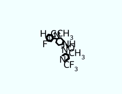 Cc1cc(C(F)(F)F)ncc1N1C[C@]2(CC[C@](c3cccc(F)c3)(N(C)C)CC2)NC1=O